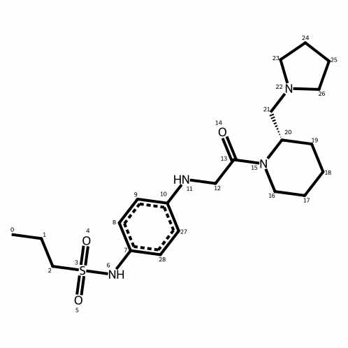 CCCS(=O)(=O)Nc1ccc(NCC(=O)N2CCCC[C@H]2CN2CCCC2)cc1